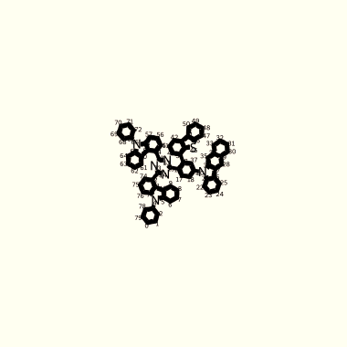 c1ccc(-n2c3ccccc3c3c(-c4nc(-c5ccc(-n6c7ccccc7c7cc8ccccc8cc76)cc5-c5cccc6c5sc5ccccc56)nc(-c5cccc6c5c5ccccc5n6-c5ccccc5)n4)cccc32)cc1